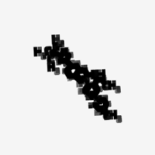 BC(C)(C)n1cc(-c2ccc3cnc(N/C(=C/C)c4ccnc(N5CCN(C)CC5)c4)cc3c2)cn1